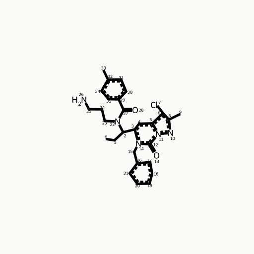 CCC(c1cc2c(Cl)c(C)nn2c(=O)n1Cc1ccccc1)N(CCCN)C(=O)c1ccc(C)cc1